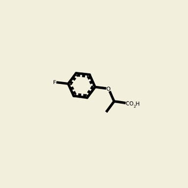 CC(Oc1ccc(F)cc1)C(=O)O